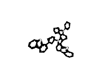 c1ccc(-n2c3ccccc3c3c2ccc2c4c5oc6ccccc6c5ccc4n(-c4cccc(-c5cccc6c5oc5ccccc56)c4)c23)cc1